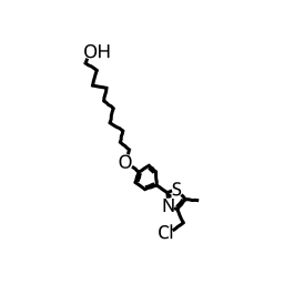 Cc1sc(-c2ccc(OCCCCCCCCCCO)cc2)nc1CCl